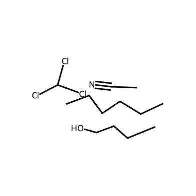 CC#N.CCCCCC.CCCCO.ClC(Cl)Cl